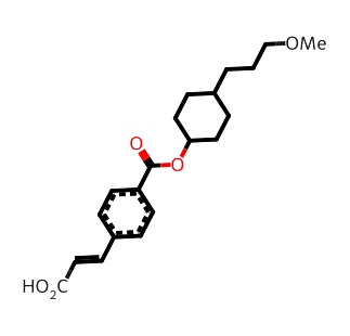 COCCCC1CCC(OC(=O)c2ccc(/C=C/C(=O)O)cc2)CC1